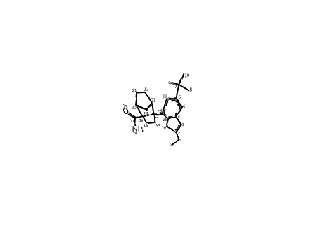 CCC1=Cc2cc(C(C)(C)C)cc(C34CCC3(C([NH])=O)C3CCC4C3)c2C1